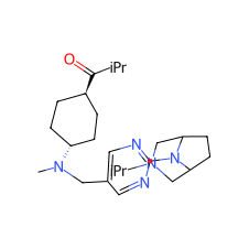 CC(C)C(=O)[C@H]1CC[C@H](N(C)Cc2cnc(N3C4CCC3CN(C(C)C)C4)nc2)CC1